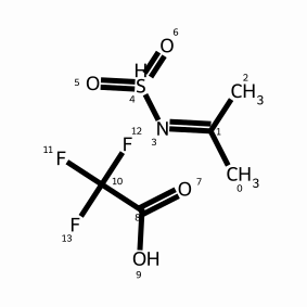 CC(C)=N[SH](=O)=O.O=C(O)C(F)(F)F